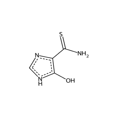 NC(=S)c1nc[nH]c1O